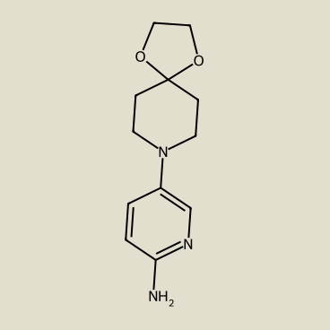 Nc1ccc(N2CCC3(CC2)OCCO3)cn1